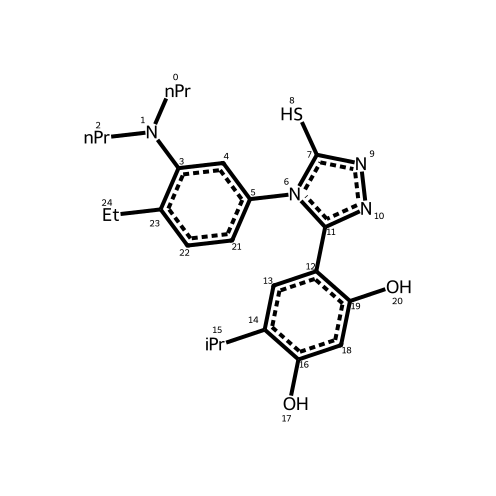 CCCN(CCC)c1cc(-n2c(S)nnc2-c2cc(C(C)C)c(O)cc2O)ccc1CC